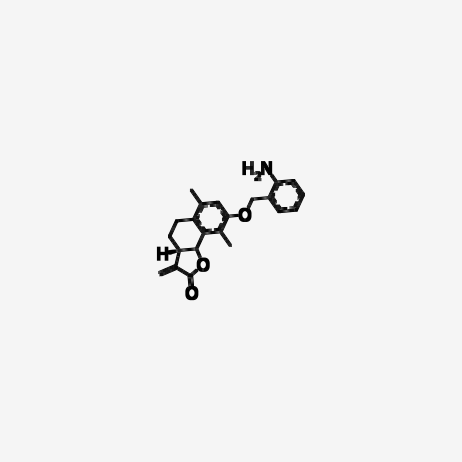 C=C1C(=O)OC2c3c(C)c(OCc4ccccc4N)cc(C)c3CC[C@@H]12